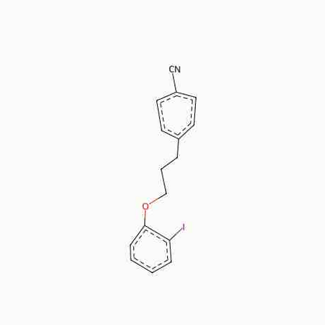 N#Cc1ccc(CCCOc2ccccc2I)cc1